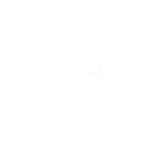 CC1(C)OB(c2ccc(-c3ccccc3-c3nc(-c4ccccc4)c4ccccc4n3)c(-c3ccccc3)c2-c2ccccc2)OC1(C)C